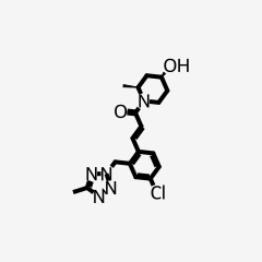 Cc1nnn(Cc2cc(Cl)ccc2/C=C/C(=O)N2CC[C@H](O)C[C@@H]2C)n1